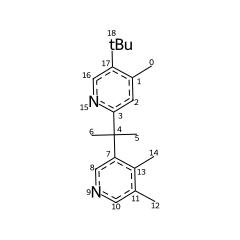 Cc1cc(C(C)(C)c2cncc(C)c2C)ncc1C(C)(C)C